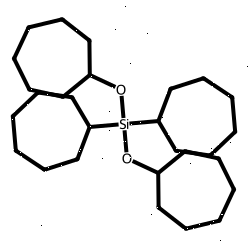 C1CCCC(O[Si](OC2CCCCCC2)(C2CCCCCC2)C2CCCCCC2)CC1